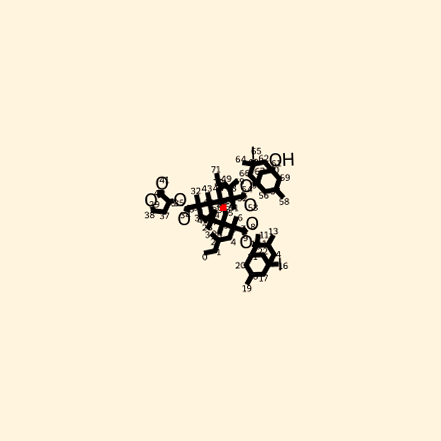 CCC(C)CC(C)(C(=O)OC1(C)C(C)CC2(I)CC(C)CC1C2)C(C)(CC)C(C)(C)CC(C)(C(=O)OC1CCOC1=O)C(C)(CC)C(C)(CC)C(C)(C(=O)OC12CC(C)CC(O)(CC(C)(I)C1)C2)C(C)CC